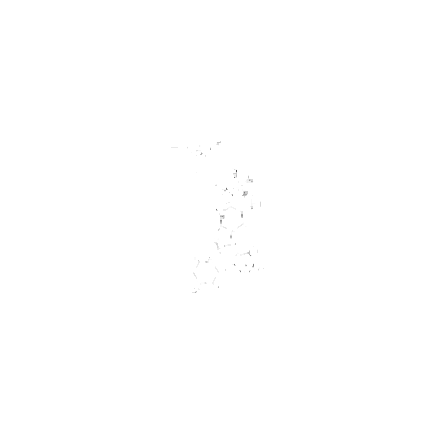 CCc1cc2c(C(=O)NC)c(-c3ccc(F)cc3)oc2nc1N(CCC[S+](C)[O-])S(C)(=O)=O